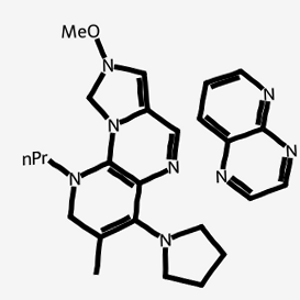 CCCN1CC(C)=C(N2CCCC2)C2=C1N1CN(OC)C=C1C=N2.c1cnc2nccnc2c1